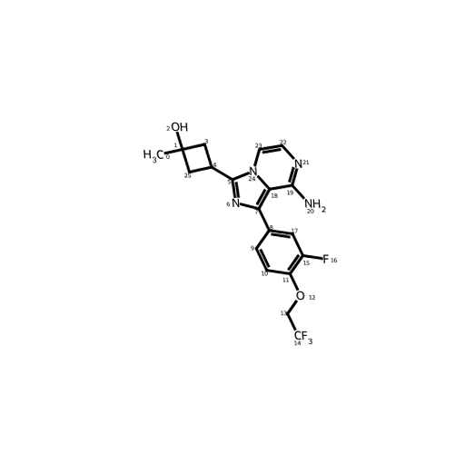 CC1(O)CC(c2nc(-c3ccc(OCC(F)(F)F)c(F)c3)c3c(N)nccn23)C1